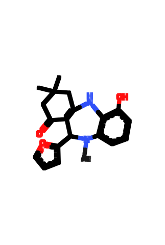 CC(=O)N1c2cccc(O)c2NC2=C(C(=O)CC(C)(C)C2)C1c1ccco1